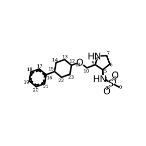 CS(=O)(=O)NC1CCNC1COC1CCC(c2ccccc2)CC1